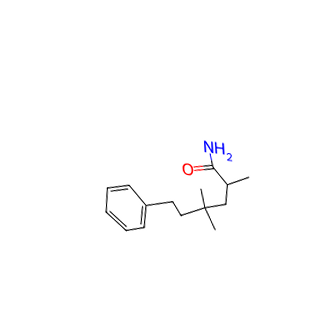 CC(CC(C)(C)CCc1ccccc1)C(N)=O